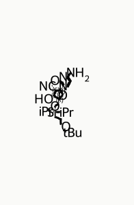 CC(C)[Si](CCCOC(C)(C)C)(OC[C@H]1O[C@@H](n2ccc(N)nc2=O)[C@@H](C#N)[C@@H]1O)C(C)C